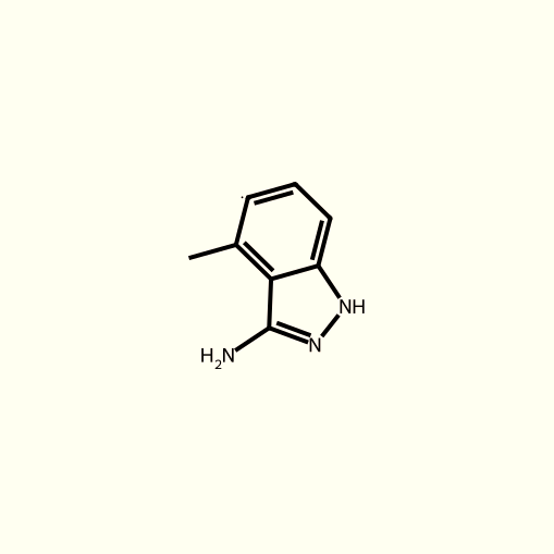 Cc1[c]ccc2[nH]nc(N)c12